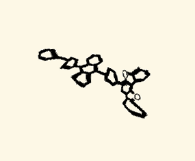 c1ccc(-c2ccc(-c3c4ccccc4c(-c4ccc(-c5cc6c7ccccc7oc6c6c5oc5ccccc56)cc4)c4ccccc34)cc2)cc1